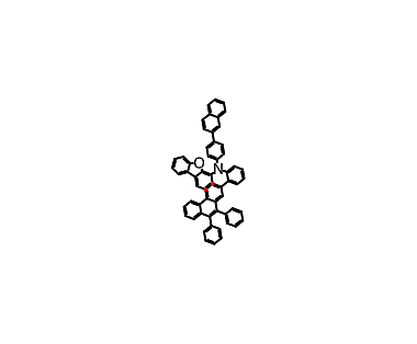 c1ccc(-c2c(-c3ccccc3)c3cc(-c4ccccc4N(c4ccc(-c5ccc6ccccc6c5)cc4)c4cccc5c4oc4ccccc45)ccc3c3ccccc23)cc1